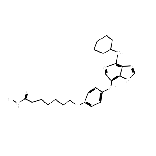 O=C(CCCCCCOc1ccc(Nc2cnc(NC3CCCCC3)c3nc[nH]c23)cc1)NO